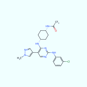 Cn1cc(-c2cnc(Nc3cccc(Cl)c3)nc2N[C@H]2CC[C@@H](NC(=O)C(F)(F)F)CC2)cn1